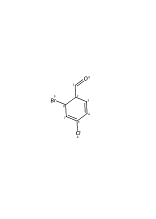 O=CC1C=CC(Cl)=CC1Br